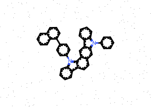 c1ccc(-n2c3ccccc3c3cc4c(ccc5c6ccccc6n(-c6ccc(-c7cccc8ccccc78)cc6)c45)cc32)cc1